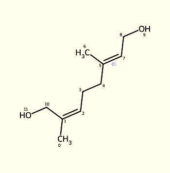 CC(=CCC/C(C)=C/CO)CO